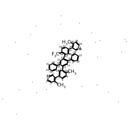 Cc1ccncc1-c1ccc(C)c(-c2cc(-c3ccccc3)c(-c3cc(-c4cnccc4C)ccc3C(F)(F)F)cc2-c2ccccc2)c1